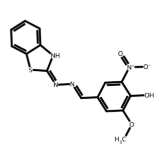 COc1cc(/C=N/N=c2\[nH]c3ccccc3s2)cc([N+](=O)[O-])c1O